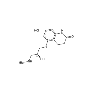 CC(C)(C)NC[C@H](O)COc1cccc2c1CCC(=O)N2.Cl